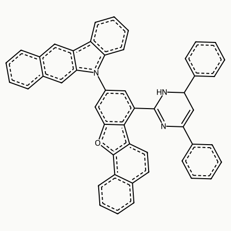 C1=C(c2ccccc2)N=C(c2cc(-n3c4ccccc4c4cc5ccccc5cc43)cc3oc4c5ccccc5ccc4c23)NC1c1ccccc1